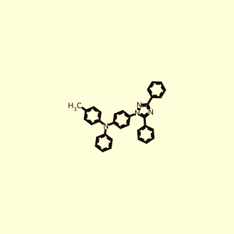 Cc1ccc(N(c2ccccc2)c2ccc(-n3nc(-c4ccccc4)nc3-c3ccccc3)cc2)cc1